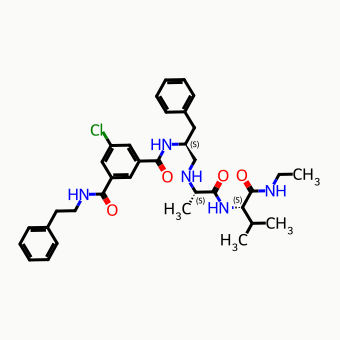 CCNC(=O)[C@@H](NC(=O)[C@H](C)NC[C@H](Cc1ccccc1)NC(=O)c1cc(Cl)cc(C(=O)NCCc2ccccc2)c1)C(C)C